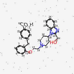 O=C(O)c1ccc(Cc2ccccc2OCCN2CCC(n3c(CO)nc4ccccc43)CC2)cc1